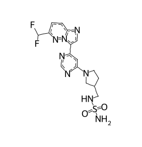 NS(=O)(=O)NCC1CCN(c2cc(-c3cnc4ccc(C(F)F)nn34)ncn2)C1